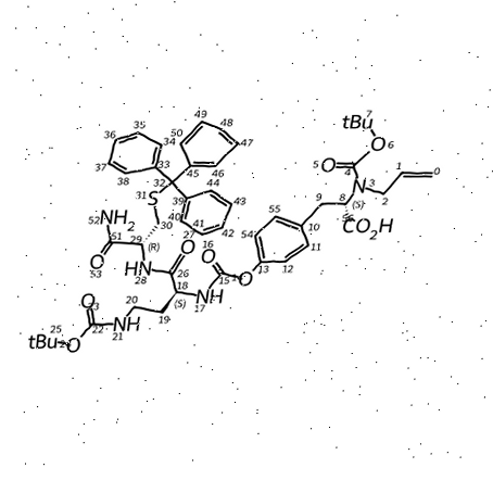 C=CCN(C(=O)OC(C)(C)C)[C@@H](Cc1ccc(OC(=O)N[C@@H](CCNC(=O)OC(C)(C)C)C(=O)N[C@@H](CSC(c2ccccc2)(c2ccccc2)c2ccccc2)C(N)=O)cc1)C(=O)O